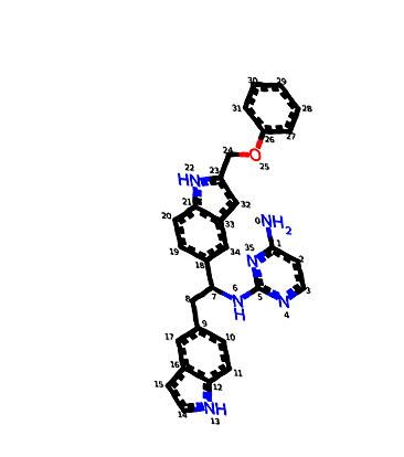 Nc1ccnc(NC(Cc2ccc3[nH]ccc3c2)c2ccc3[nH]c(COc4ccccc4)cc3c2)n1